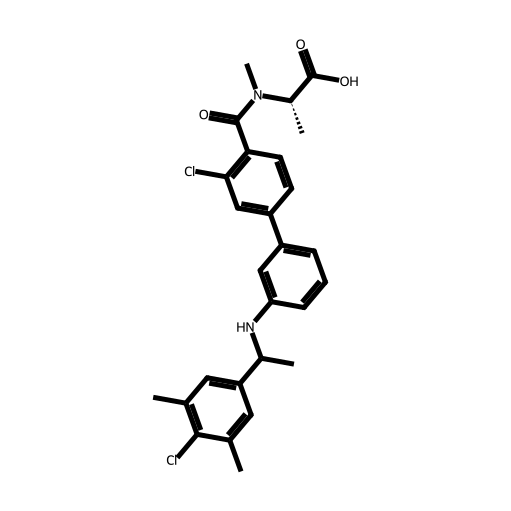 Cc1cc(C(C)Nc2cccc(-c3ccc(C(=O)N(C)[C@@H](C)C(=O)O)c(Cl)c3)c2)cc(C)c1Cl